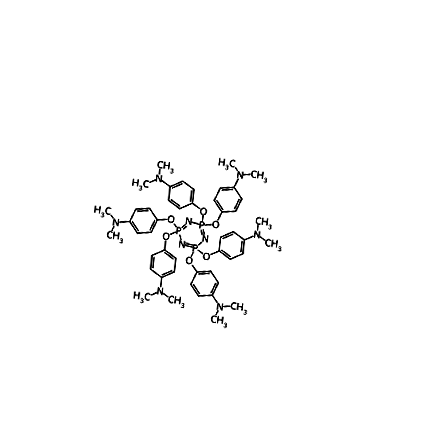 CN(C)c1ccc(OP2(Oc3ccc(N(C)C)cc3)=NP(Oc3ccc(N(C)C)cc3)(Oc3ccc(N(C)C)cc3)=NP(Oc3ccc(N(C)C)cc3)(Oc3ccc(N(C)C)cc3)=N2)cc1